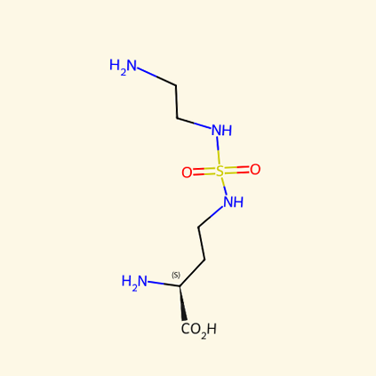 NCCNS(=O)(=O)NCC[C@H](N)C(=O)O